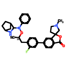 CN1CCC2(C1)OC(=O)c1ccc(-c3ccc(C[C@@H](C#N)ON(c4ccccc4)C4NC5CCC4C5)c(F)c3)cc12